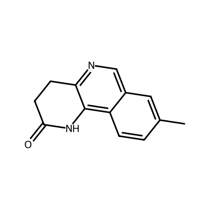 Cc1ccc2c3c(ncc2c1)CCC(=O)N3